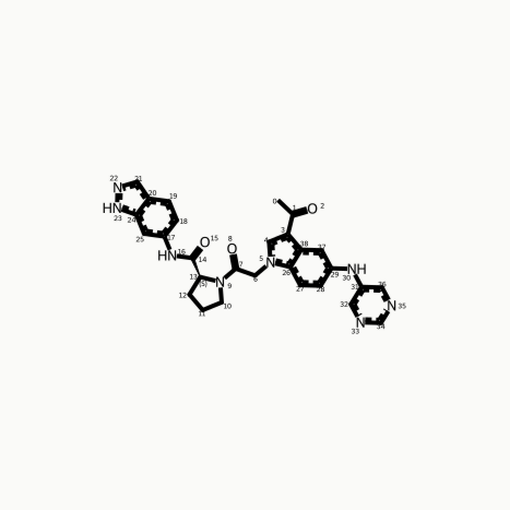 CC(=O)c1cn(CC(=O)N2CCC[C@H]2C(=O)Nc2ccc3cn[nH]c3c2)c2ccc(Nc3cncnc3)cc12